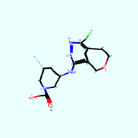 O=C(O)N1C[C@H](F)C[C@@H](Nc2nnc(Cl)c3c2COCC3)C1